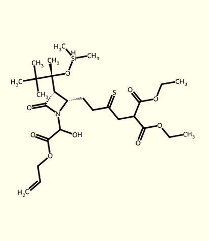 C=CCOC(=O)C(O)N1C(=O)[C@H]([C@@](C)(O[SiH](C)C)C(C)(C)C)[C@@H]1CCC(=S)CC(C(=O)OCC)C(=O)OCC